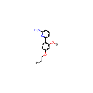 CCOc1cc(OCCC(C)C)ccc1-c1cccc(N)n1